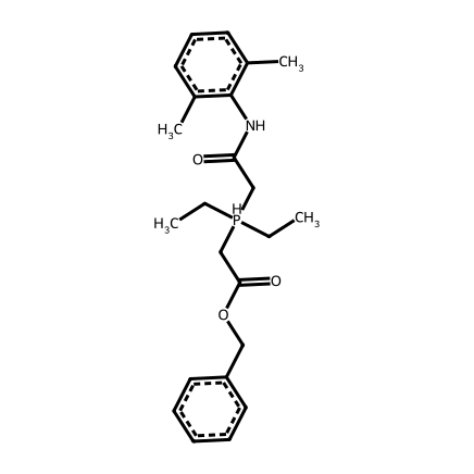 CC[PH](CC)(CC(=O)Nc1c(C)cccc1C)CC(=O)OCc1ccccc1